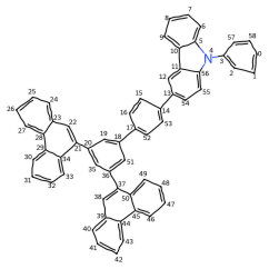 c1ccc(-n2c3ccccc3c3cc(-c4ccc(-c5cc(-c6cc7ccccc7c7ccccc67)cc(-c6cc7ccccc7c7ccccc67)c5)cc4)ccc32)cc1